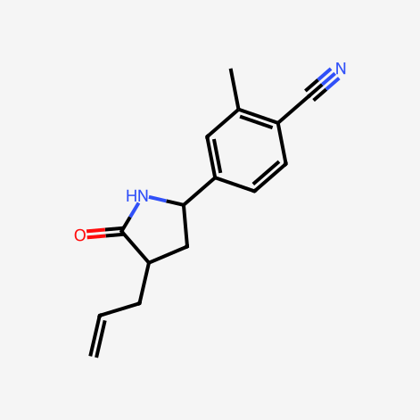 C=CCC1CC(c2ccc(C#N)c(C)c2)NC1=O